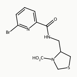 O=C(NCC1CSCN1C(=O)O)c1cccc(Br)n1